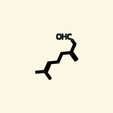 C=C(CC=O)CCC=C(C)C